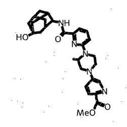 COC(=O)c1ccc(N2CCN(c3cccc(C(=O)NC4C5CC6CC4CC(O)(C6)C5)n3)C(C)C2)cn1